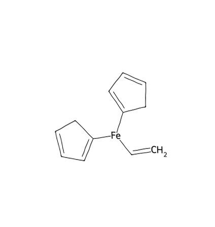 C=[CH][Fe]([C]1=CC=CC1)[C]1=CC=CC1